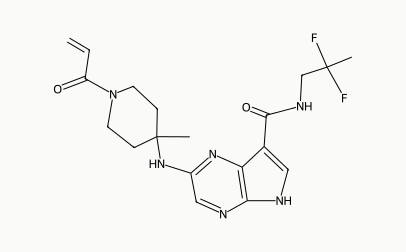 C=CC(=O)N1CCC(C)(Nc2cnc3[nH]cc(C(=O)NCC(C)(F)F)c3n2)CC1